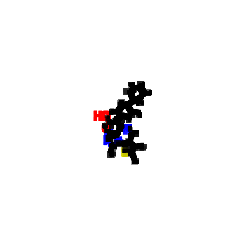 Cc1cc(C(C(=O)O)[C@@H]2N=Cc3c(sc(C)c3C)-n3c(C)nnc32)ccc1-c1ccccc1